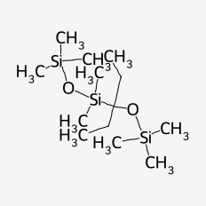 CCC(CC)(O[Si](C)(C)C)[Si](C)(C)O[Si](C)(C)C